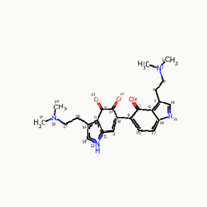 CN(C)CCC1=C2C(=O)C(C3=Cc4[nH]cc(CCN(C)C)c4C(=O)C3=O)=CC=C2N=C1